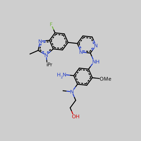 COc1cc(N(C)CCO)c(N)cc1Nc1nccc(-c2cc(F)c3nc(C)n(C(C)C)c3c2)n1